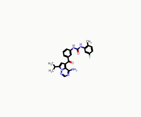 Cc1ccc(F)cc1NC(=O)Nc1cccc(C(=O)c2cc(C(C)C)n3ncnc(N)c23)c1